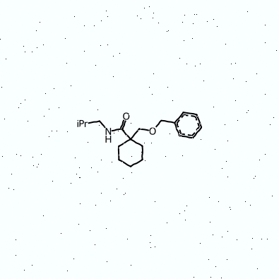 CC(C)CNC(=O)C1(COCc2ccccc2)CCCCC1